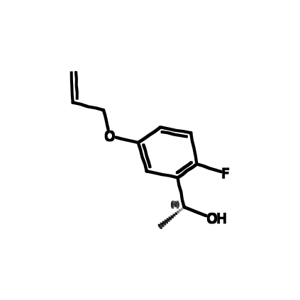 C=CCOc1ccc(F)c([C@@H](C)O)c1